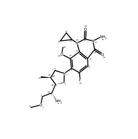 COC[C@@H](N)[C@H]1CN(c2c(F)cc3c(=O)n(N)c(=O)n(C4CC4)c3c2OC)C[C@@H]1C